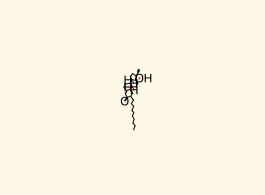 C#C[C@]1(O)CC[C@H]2[C@@H]3CCC4=CC(=O)C(CCCCCCCCCC)C[C@@H]4[C@H]3CC[C@@]21C